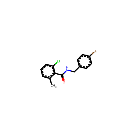 Cc1cccc(Cl)c1C(=O)NCc1ccc(Br)cc1